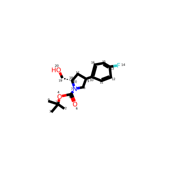 CC(C)(C)OC(=O)N1CC(c2ccc(F)cc2)C[C@H]1CO